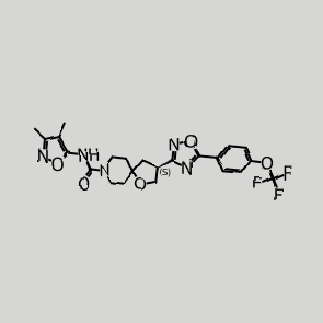 Cc1noc(NC(=O)N2CCC3(CC2)C[C@@H](c2noc(-c4ccc(OC(F)(F)F)cc4)n2)CO3)c1C